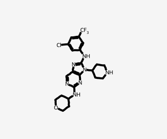 FC(F)(F)c1cc(Cl)cc(Nc2nc3cnc(NC4CCOCC4)nc3n2C2CCNCC2)c1